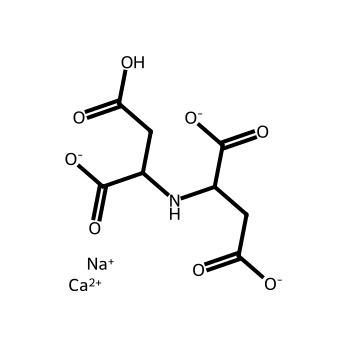 O=C([O-])CC(NC(CC(=O)O)C(=O)[O-])C(=O)[O-].[Ca+2].[Na+]